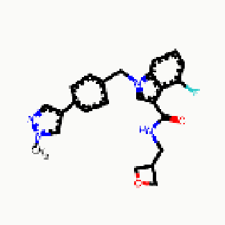 Cn1cc(-c2ccc(Cn3cc(C(=O)NCC4COC4)c4c(F)cccc43)cc2)cn1